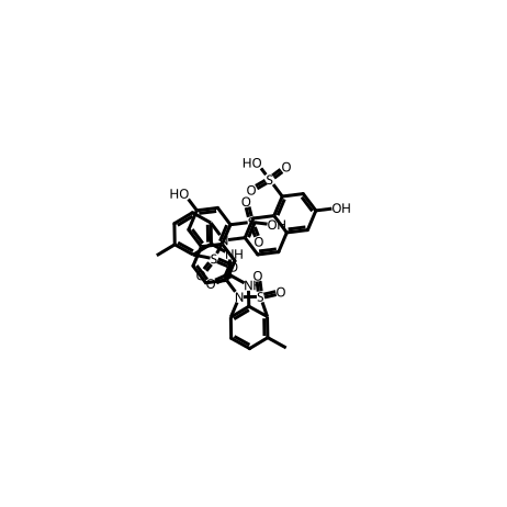 Cc1ccc2c(NC(=O)Nc3c4ccc(C)c3S(=O)(=O)N4c3ccc4cc(O)cc(S(=O)(=O)O)c4c3)c1S(=O)(=O)N2c1ccc2cc(O)cc(S(=O)(=O)O)c2c1